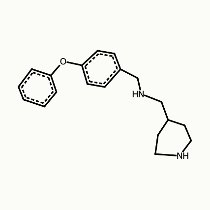 c1ccc(Oc2ccc(CNCC3CCNCC3)cc2)cc1